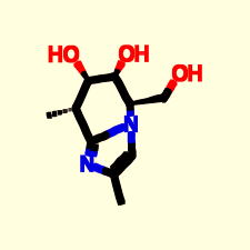 Cc1cn2c(n1)[C@H](C)[C@@H](O)[C@@H](O)[C@H]2CO